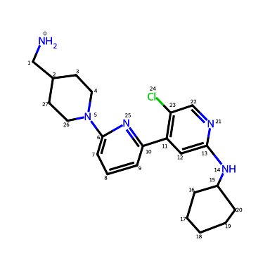 NCC1CCN(c2cccc(-c3cc(NC4CCCCC4)ncc3Cl)n2)CC1